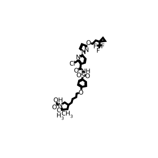 CC1(C)CC(CCCCOc2ccc(S(=O)(=O)NC(=O)c3ccc(-n4ccc(OCCC5(C(F)(F)F)CC5)n4)nc3Cl)cc2)CN1C(=O)O